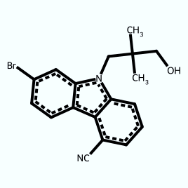 CC(C)(CO)Cn1c2cc(Br)ccc2c2c(C#N)cccc21